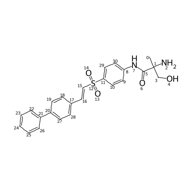 CC(N)(CO)C(=O)Nc1ccc(S(=O)(=O)C=Cc2ccc(-c3ccccc3)cc2)cc1